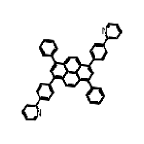 c1ccc(-c2cc(-c3ccc(-c4ccccn4)cc3)c3ccc4c(-c5ccccc5)cc(-c5ccc(-c6ccccn6)cc5)c5ccc2c3c45)cc1